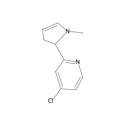 CN1C=CCC1c1cc(Cl)ccn1